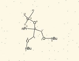 CCCCOCC(CCC)(COCCCC)O[Si](C)(C)C